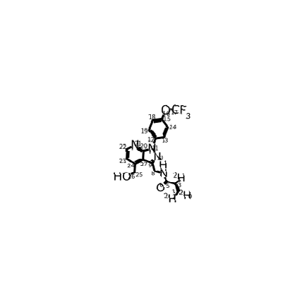 [2H]C([2H])=C([2H])C(=O)NCc1nn(-c2ccc(OC(F)(F)F)cc2)c2nccc(CO)c12